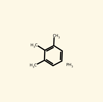 Cc1cccc(C)c1C.P